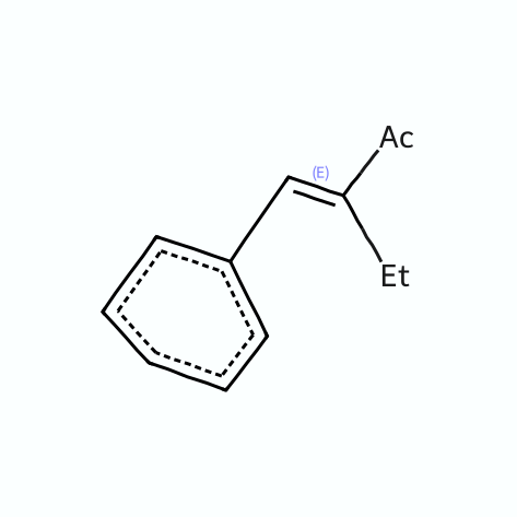 CC/C(=C\c1ccccc1)C(C)=O